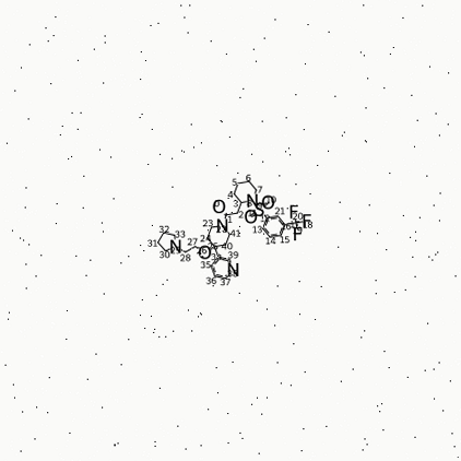 O=C(CC1CCCCN1S(=O)(=O)c1cccc(C(F)(F)F)c1)N1CCC(OCCN2CCCC2)(c2cccnc2)CC1